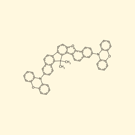 CC1(C)c2c(ccc3cc(N4c5ccccc5Oc5ccccc54)ccc23)-c2ccc3oc4c5ccc(N6c7ccccc7Oc7ccccc76)cc5ccc4c3c21